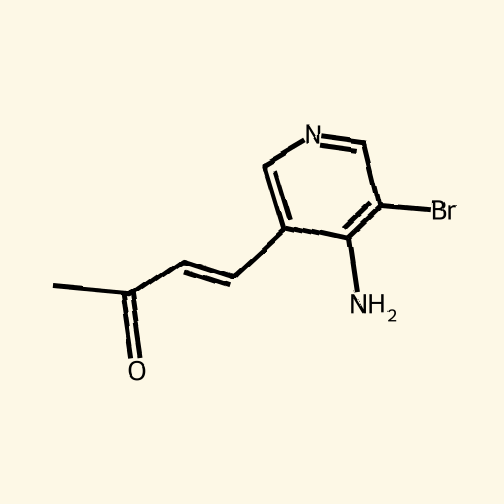 CC(=O)/C=C/c1cncc(Br)c1N